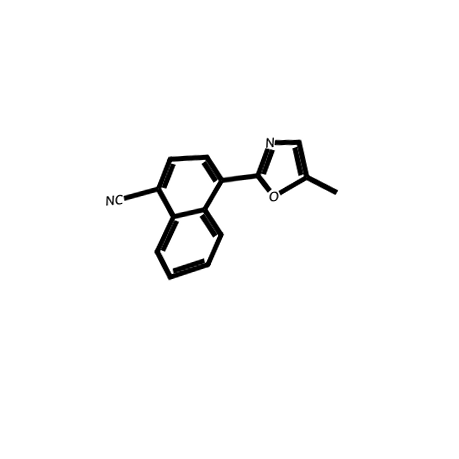 Cc1cnc(-c2ccc(C#N)c3ccccc23)o1